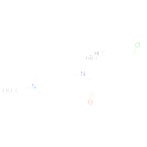 CCCCN(C(=O)c1cccc(Cl)c1C)C1CCN(C(=O)O)CC1